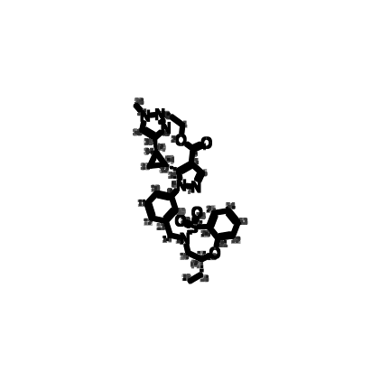 CCOC(=O)c1cnn(-c2cccc(CN3C[C@@H](CC)Oc4ccccc4S3(=O)=O)c2)c1[C@@H]1C[C@H]1c1cn(C)nn1